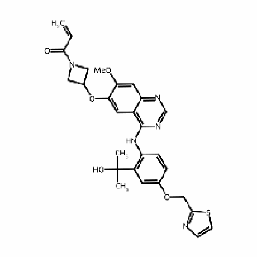 C=CC(=O)N1CC(Oc2cc3c(Nc4ccc(OCc5nccs5)cc4C(C)(C)O)ncnc3cc2OC)C1